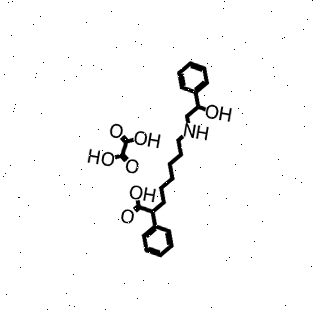 O=C(O)C(=O)O.O=C(O)C(CCCCCCNCC(O)c1ccccc1)c1ccccc1